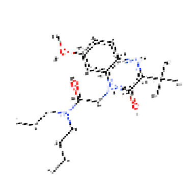 CCCCN(CCC)C(=O)Cn1c(=O)c(C(C)(C)C)nc2ccc(OC)cc21